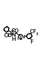 O=C(NS(=O)(=O)c1ccccc1Cl)c1cn(-c2cc(F)cc(C(F)(F)F)c2)cn1